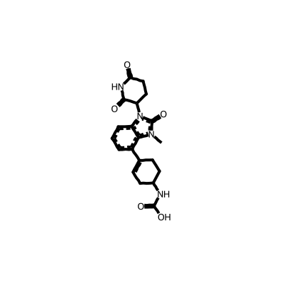 Cn1c(=O)n(C2CCC(=O)NC2=O)c2cccc(C3=CCC(NC(=O)O)CC3)c21